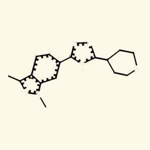 Cc1nn(C)c2cc(-c3noc(C4CCNCC4)n3)ccc12